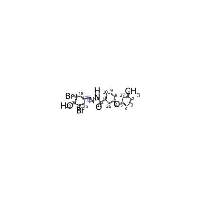 Cc1cccc(Oc2cccc(C(=O)N/N=C/c3cc(Br)c(O)c(Br)c3)c2)c1